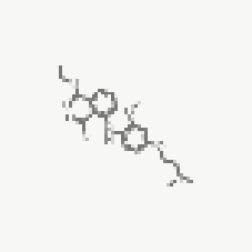 CCOC(=O)c1cccc(Nc2ccc(OCCN(C)C)cc2OC)c1C(=O)O